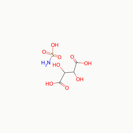 NS(=O)(=O)O.O=C(O)C(O)C(O)C(=O)O